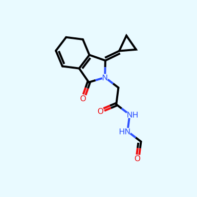 O=CNNC(=O)CN1C(=O)C2=C(CCC=C2)C1=C1CC1